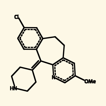 COc1cnc2c(c1)CCc1cc(Cl)ccc1C2=C1CCNCC1